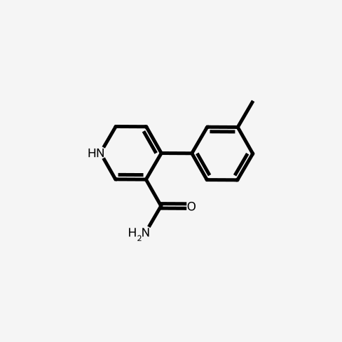 Cc1cccc(C2=CCNC=C2C(N)=O)c1